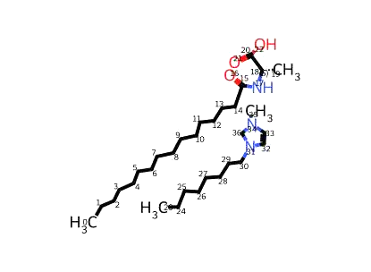 CCCCCCCCCCCCCCCC(=O)N[C@@H](C)C(=O)O.CCCCCCCCN1C=CN(C)C1